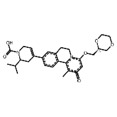 Cc1c2n(c(OC[C@@H]3COCCO3)cc1=O)CCc1cc(C3=CCN(C(=O)O)C(C(C)C)C3)ccc1-2